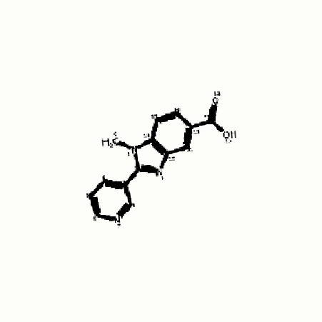 Cn1c(-c2cccnc2)nc2cc(C(=O)O)ccc21